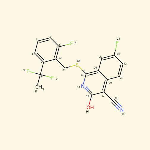 CC(F)(F)c1cccc(F)c1CSc1nc(O)c(C#N)c2ccc(F)cc12